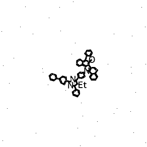 CC[C@@H]1C(c2ccccc2)=NC(c2ccc(-c3ccccc3)cc2)=NC1c1ccc(-n2c3c4ccccc4ccc3c3c4oc5ccccc5c4c4ccccc4c32)cc1